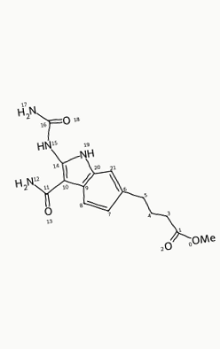 COC(=O)CCCc1ccc2c(C(N)=O)c(NC(N)=O)[nH]c2c1